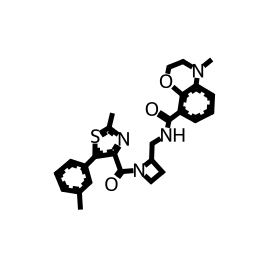 Cc1cccc(-c2sc(C)nc2C(=O)N2CCC2CNC(=O)c2cccc3c2OCCN3C)c1